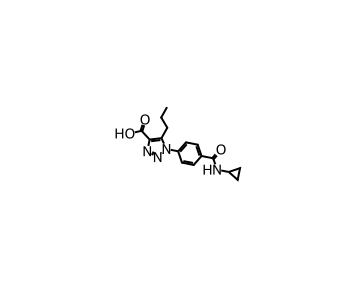 CCCc1c(C(=O)O)nnn1-c1ccc(C(=O)NC2CC2)cc1